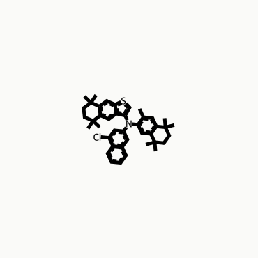 Cc1cc2c(cc1N(c1cc(Cl)c3ccccc3c1)c1csc3cc4c(cc13)C(C)(C)CCC4(C)C)C(C)(C)CCC2(C)C